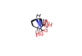 CN1[C@H]2CC[C@@H]1C(C(=O)O)C(O)C2